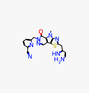 Cn1c2nc(CC(=N)/C=C\N)sc2c2cnn(Cc3cccc(C#N)n3)c(=O)c21